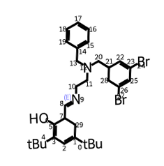 CC(C)(C)C1=CC(C(C)(C)C)=C(O)C(/C=N/CCN(Cc2ccccc2)CC2C=C(Br)C=C(Br)C2)C1